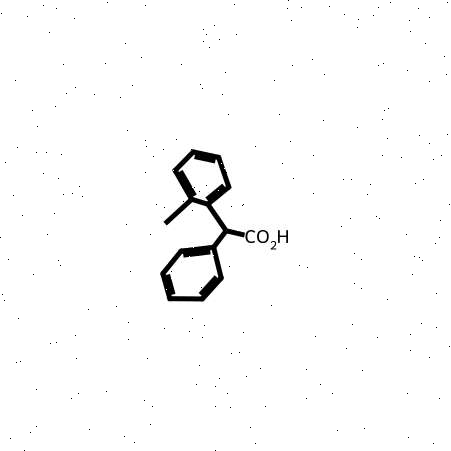 Cc1ccccc1C(C(=O)O)c1ccccc1